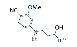 CCC[C@H](O)CCN(CC)c1ccc(C#N)c(OC)c1